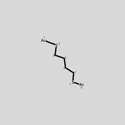 CC(=O)SCCCCSC(C)=O